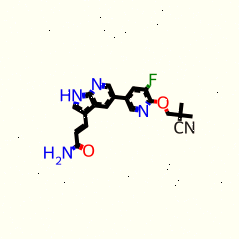 CC(C)(C#N)COc1ncc(-c2cnc3[nH]cc(/C=C/C(N)=O)c3c2)cc1F